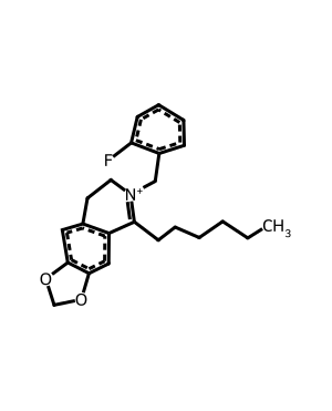 CCCCCCC1=[N+](Cc2ccccc2F)CCc2cc3c(cc21)OCO3